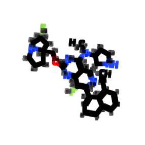 C#Cc1cccc2cccc(-c3ncc4c(N(C)C5CCNC5)nc(OC[C@@]56CCCN5C[C@H](F)C6)nc4c3F)c12